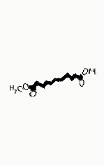 COC(=O)CCCCCCCCCC(=O)O